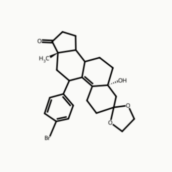 C[C@]12CC(c3ccc(Br)cc3)C3=C4CCC5(C[C@]4(O)CCC3C1CCC2=O)OCCO5